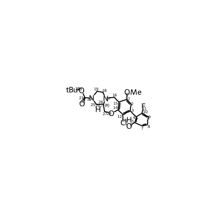 COc1cc(-c2c(O)cccc2F)c(Cl)c2c1CN1CCN(C(=O)OC(C)(C)C)C[C@@H]1CO2